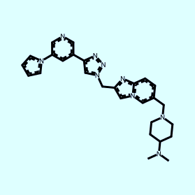 CN(C)C1CCN(Cc2ccc3nc(Cn4cc(-c5cncc(-n6cccc6)c5)nn4)cn3c2)CC1